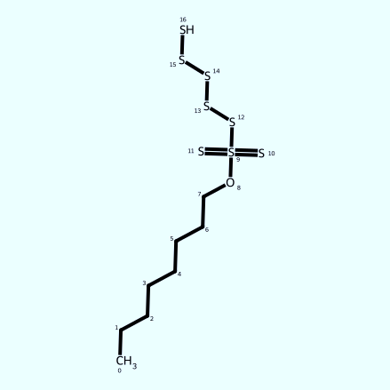 CCCCCCCCOS(=S)(=S)SSSSS